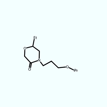 CCC1CN(CCCOC(C)C)C(=O)CO1